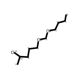 CCCCOCOCCCC(C)Cl